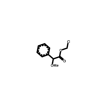 COC(C(=O)OCCl)c1ccccc1